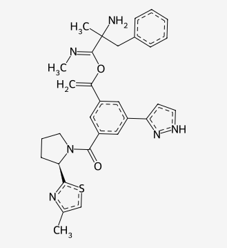 C=C(O/C(=N\C)C(C)(N)Cc1ccccc1)c1cc(C(=O)N2CCC[C@@H]2c2nc(C)cs2)cc(-c2cc[nH]n2)c1